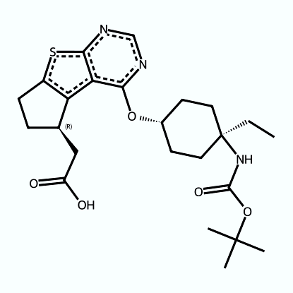 CC[C@]1(NC(=O)OC(C)(C)C)CC[C@H](Oc2ncnc3sc4c(c23)[C@@H](CC(=O)O)CC4)CC1